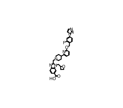 O=C(O)c1ccc2nc(CN3CCC(c4cccc(OCc5ccc(-n6ccnn6)cc5F)n4)CC3)n(CC3CCO3)c2c1